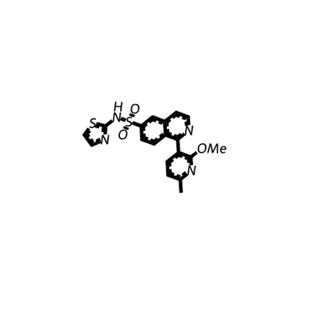 COc1nc(C)ccc1-c1nccc2cc(S(=O)(=O)Nc3nccs3)ccc12